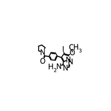 COc1c(I)c(-c2ccc(C(=O)N3CCCC3)cc2)c2c(N)ncnn12